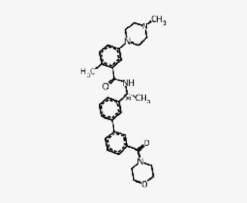 Cc1ccc(N2CCN(C)CC2)cc1C(=O)N[C@H](C)c1cccc(-c2cccc(C(=O)N3CCOCC3)c2)c1